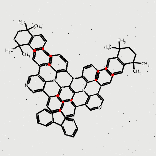 CC1(C)CCC(C)(C)c2cc(-c3ccc4c(c3)N(c3c(-c5ccccc5)cncc3-c3ccccc3)c3cc(-n5c6ccccc6c6ccccc65)cc5c3B4c3ccc(-c4ccc6c(c4)C(C)(C)CCC6(C)C)cc3N5c3c(-c4ccccc4)cncc3-c3ccccc3)ccc21